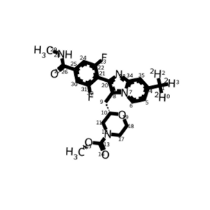 [2H]C([2H])([2H])c1ccn2c(C[C@H]3CN(C(=O)OC)CCO3)c(-c3c(F)cc(C(=O)NC)cc3F)nc2c1